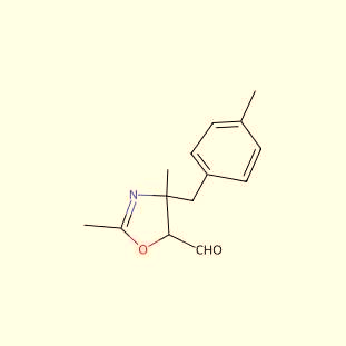 CC1=NC(C)(Cc2ccc(C)cc2)C(C=O)O1